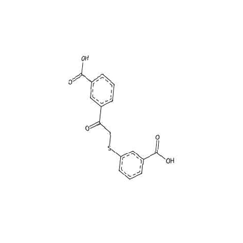 O=C(O)c1cccc(SCC(=O)c2cccc(C(=O)O)c2)c1